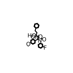 COc1ccc(C2C(C(O)CCc3ccccc3)OC(=O)N2c2cccc(F)c2)c(O)c1